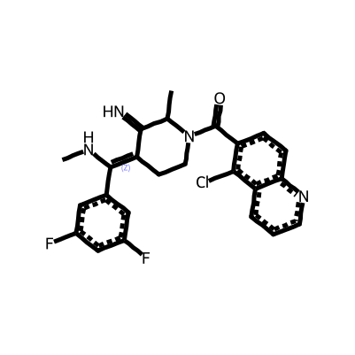 CN/C(=C1/CCN(C(=O)c2ccc3ncccc3c2Cl)C(C)C1=N)c1cc(F)cc(F)c1